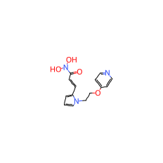 O=C(/C=C/c1cccn1CCOc1ccncc1)N(O)O